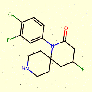 O=C1CC(F)CC2(CCNCC2)N1c1ccc(Cl)c(F)c1